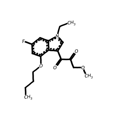 CCCCOc1cc(F)cc2c1c(C(=O)C(=O)COC)cn2CC